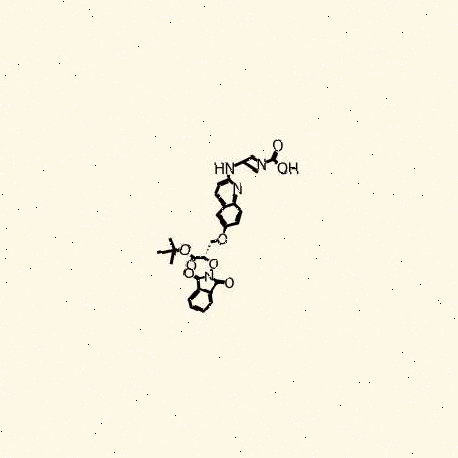 CC(C)(C)OC(=O)[C@H](COc1ccc2nc(NC3CN(C(=O)O)C3)ccc2c1)ON1C(=O)c2ccccc2C1=O